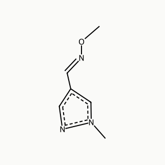 CON=Cc1cnn(C)c1